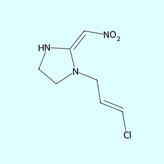 O=[N+]([O-])/C=C1/NCCN1C/C=C/Cl